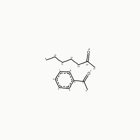 CC(=O)c1ccccc1.CCCCCC(C)=O